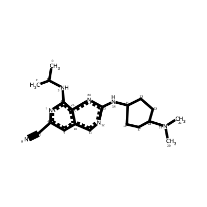 CC(C)Nc1nc(C#N)cc2cnc(NC3CCC(N(C)C)CC3)nc12